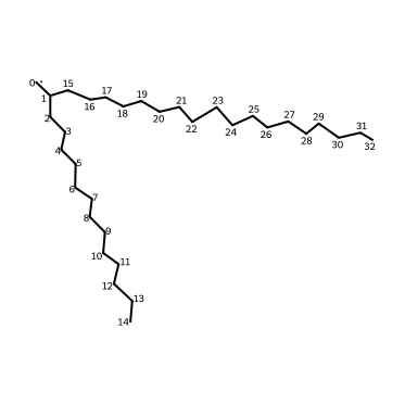 [CH2]C(CCCCCCCCCCCCC)CCCCCCCCCCCCCCCCCC